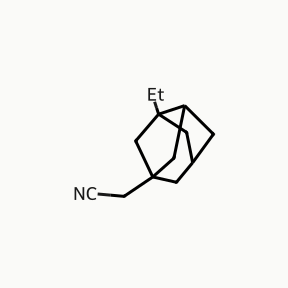 CCC12CC3CC1CC(CC#N)(C3)C2